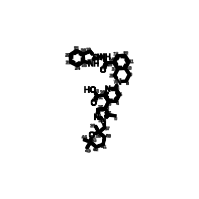 Cc1c(-c2ccc(N3CCc4cccc(C(=O)N[SH]5Cc6ccccc6N5)c4C3)nc2C(=O)O)cnn1CC1(C)CCCC(C)(C)O1